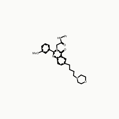 COc1cccc(-c2nc3ccc(CCCCN4CCOCC4)cc3c(=O)n2CC(=O)NC(C)C)c1